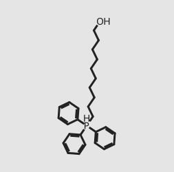 OCCCCCCCCCC[PH](c1ccccc1)(c1ccccc1)c1ccccc1